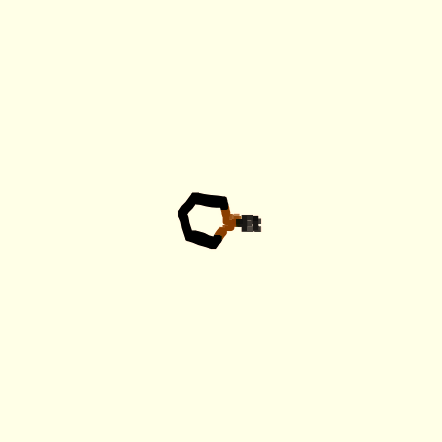 CC[S+]1C=CCC=C1